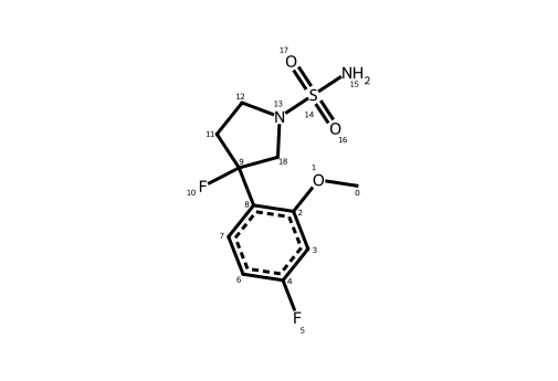 COc1cc(F)ccc1C1(F)CCN(S(N)(=O)=O)C1